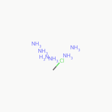 CCl.N.N.N.N.N.N